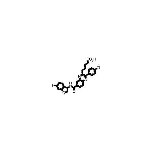 O=C(O)CCCCc1nc2cc(C(=O)NC3COc4cc(F)ccc43)ccc2nc1-c1ccc(Cl)cc1